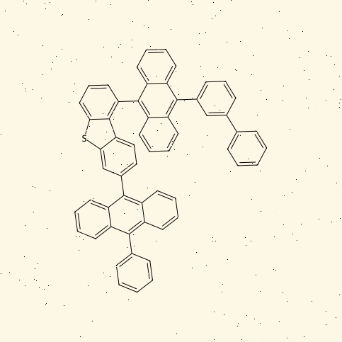 c1ccc(-c2cccc(-c3c4ccccc4c(-c4cccc5sc6cc(-c7c8ccccc8c(-c8ccccc8)c8ccccc78)ccc6c45)c4ccccc34)c2)cc1